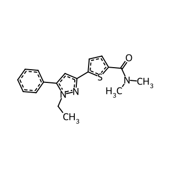 CCn1nc(-c2ccc(C(=O)N(C)C)s2)cc1-c1ccccc1